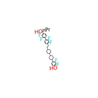 CCCC(O)c1ccc(-c2ccc(CCC3CCC(C4CCC(c5ccc(O)c(F)c5F)CC4)CC3)c(F)c2F)c(F)c1F